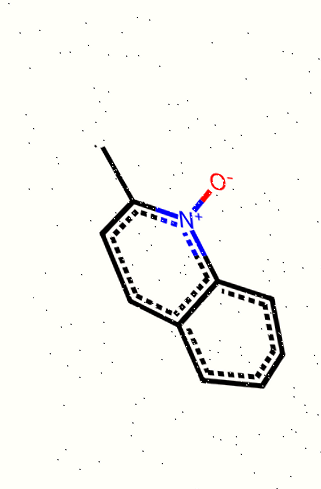 [CH2]c1ccc2ccccc2[n+]1[O-]